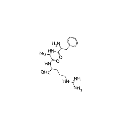 CC[C@H](C)[C@H](NC(=O)[C@@H](N)Cc1ccccc1)C(=O)N[C@H](C=O)CCCNC(=N)N